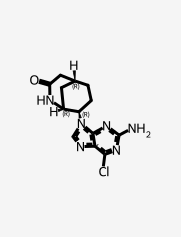 Nc1nc(Cl)c2ncn([C@@H]3CC[C@H]4CC(=O)N[C@@H]3C4)c2n1